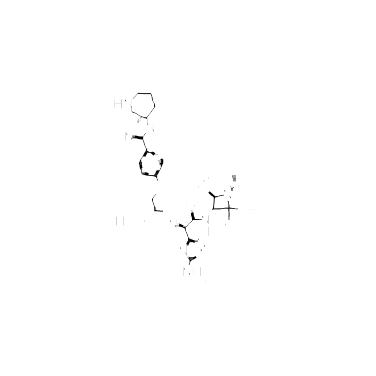 CC1(C)[C@H](NC(=O)/C(=N\O[C@@H](COc2ccc(C(=N)N[C@@H]3CCCNC3)cc2)C(=O)O)c2nsc(N)n2)C(=O)N1OS(=O)(=O)O